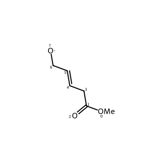 COC(=O)CC=CC[O]